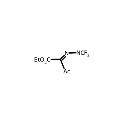 CCOC(=O)C(=NNC(F)(F)F)C(C)=O